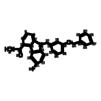 NC(=O)c1cccc2c1c1[c]c(F)ccc1n2Cc1cccc(OCc2ccccc2)c1